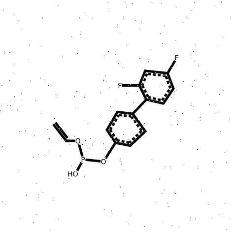 C=COP(O)Oc1ccc(-c2ccc(F)cc2F)cc1